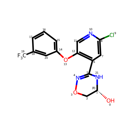 O[C@@H]1CON=C(c2cc(Cl)ncc2Oc2cccc(C(F)(F)F)c2)N1